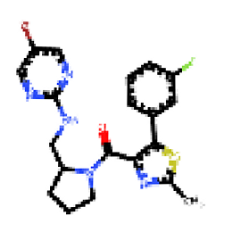 Cc1nc(C(=O)N2CCCC2CNc2ncc(Br)cn2)c(-c2cccc(F)c2)s1